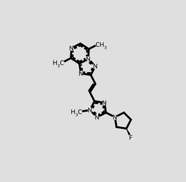 Cc1ncc(C)n2nc(/C=C/c3nc(N4CC[C@@H](F)C4)nn3C)nc12